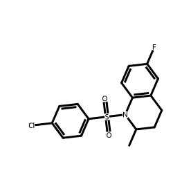 CC1CCc2cc(F)ccc2N1S(=O)(=O)c1ccc(Cl)cc1